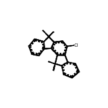 CC1(C)c2ccccc2-c2c1cc(Cl)c1c2C(C)(C)c2ccccc2-1